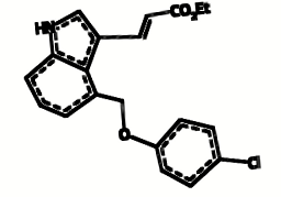 CCOC(=O)/C=C/c1c[nH]c2cccc(COc3ccc(Cl)cc3)c12